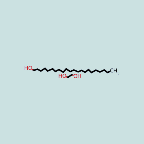 CCCCCCCCCCCCCCCCCCCCCCO.OCCO